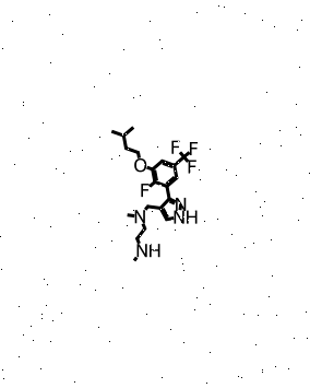 CNCCN(C)Cc1c[nH]nc1-c1cc(C(F)(F)F)cc(OCCC(C)C)c1F